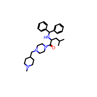 CC(C)CC(NC(c1ccccc1)c1ccccc1)C(=O)N1CCN(CC2CCN(C)CC2)CC1